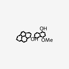 COc1ccc(O)c2ccccc12.Oc1ccc2ccc3cccc4ccc1c2c34